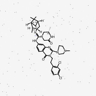 C[C@@H]1[C@@H](/N=C(/Nc2ccc3c(=O)n(CCc4ccc(Cl)cc4Cl)c(N4CCN(C)CC4)nc3c2)N2CC(=O)N[C@@H](C)C2)C[C@@H]2C[C@H]1C2(C)C